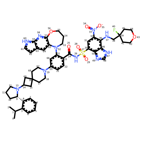 CC(C)c1ccccc1[C@@H]1CCCN1C1CC2(CCN(c3ccc(C(=O)NS(=O)(=O)c4cc([N+](=O)[O-])c(NCC5(F)CCOCC5)c5[nH]cnc45)c(N4CCCOc5nc6[nH]ccc6cc54)c3)CC2)C1